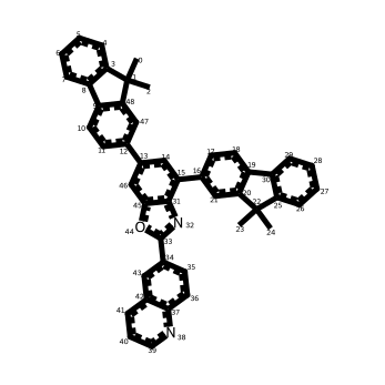 CC1(C)c2ccccc2-c2ccc(-c3cc(-c4ccc5c(c4)C(C)(C)c4ccccc4-5)c4nc(-c5ccc6ncccc6c5)oc4c3)cc21